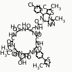 Cc1ncsc1-c1ccc([C@H]2NC(=O)[C@@H]3C[C@@H](O)CN3C(=O)[C@H](C(C)(C)C)NC(=O)CNC(=O)[C@H](C)NC(=O)[C@@H](CNC(=O)C[C@@H]3N=C(c4ccc(Cl)cc4)c4c(sc(C)c4C)-n4c(C)nnc43)NC(=O)CNC2=O)cc1